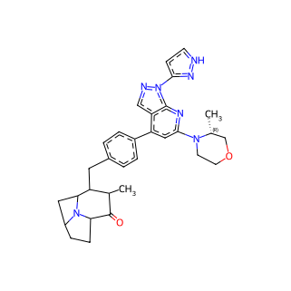 CC1C(=O)C2CCC3CC(C1Cc1ccc(-c4cc(N5CCOC[C@H]5C)nc5c4cnn5-c4cc[nH]n4)cc1)N32